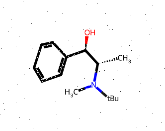 C[C@@H]([C@H](O)c1ccccc1)N(C)C(C)(C)C